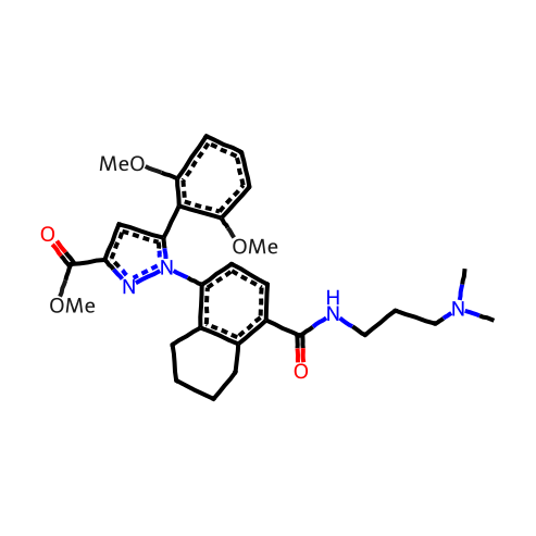 COC(=O)c1cc(-c2c(OC)cccc2OC)n(-c2ccc(C(=O)NCCCN(C)C)c3c2CCCC3)n1